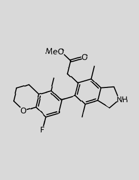 COC(=O)Cc1c(C)c2c(c(C)c1-c1cc(F)c3c(c1C)CCCO3)CNC2